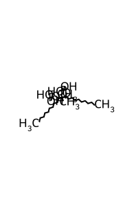 CCCCCCCCCCC(OP(O)O)C(C)(C)C(CCCCCCCCCC)OP(O)O